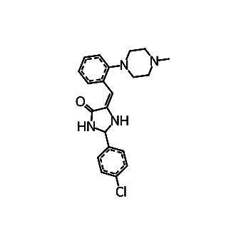 CN1CCN(c2ccccc2C=C2NC(c3ccc(Cl)cc3)NC2=O)CC1